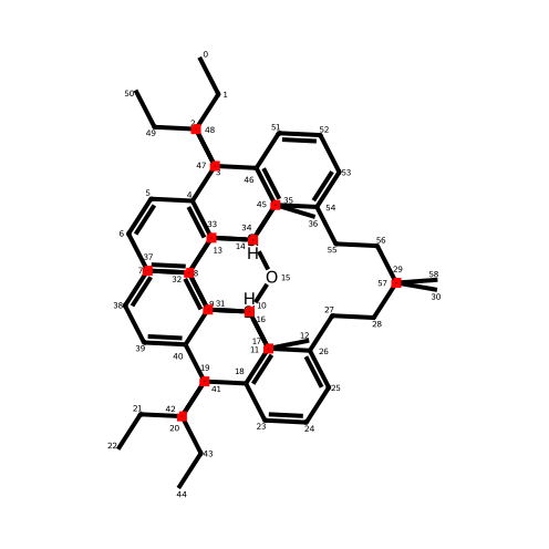 CCCCc1cccc(CCCC)c1[SiH](O[SiH](c1c(CCCC)cccc1CCCC)c1c(CCCC)cccc1CCCC)c1c(CCCC)cccc1CCCC